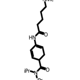 CNCCCCC(=O)NC1=CCC(C(=O)N(C(C)C)C(C)C)C=C1